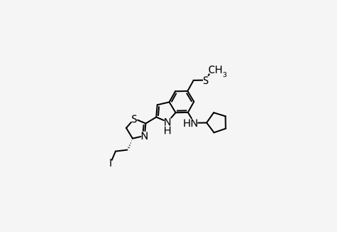 CSCc1cc(NC2CCCC2)c2[nH]c(C3=N[C@H](CCI)CS3)cc2c1